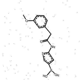 COc1cccc(CC(=O)Nc2cc(B(O)O)cs2)c1